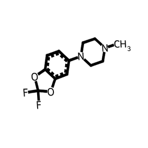 CN1CCN(c2ccc3c(c2)OC(F)(F)O3)CC1